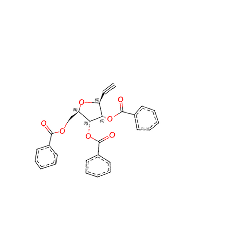 C#C[C@@H]1O[C@H](COC(=O)c2ccccc2)[C@@H](OC(=O)c2ccccc2)[C@H]1OC(=O)c1ccccc1